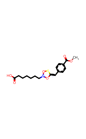 COC(=O)c1ccc(/C=C2/ON(CCCCCCC(=O)O)OS2)cc1